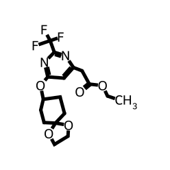 CCOC(=O)Cc1cc(OC2CCC3(CC2)OCCO3)nc(C(F)(F)F)n1